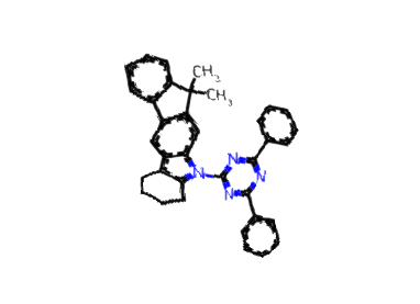 CC1(C)c2ccccc2-c2cc3c4c(n(-c5nc(-c6ccccc6)nc(-c6ccccc6)n5)c3cc21)CCCC4